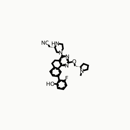 CN1CCC[C@H]1COc1nc2c(c(N3CCN[C@@H](CC#N)C3)n1)CCc1ccc(-c3c(O)cccc3F)cc1-2